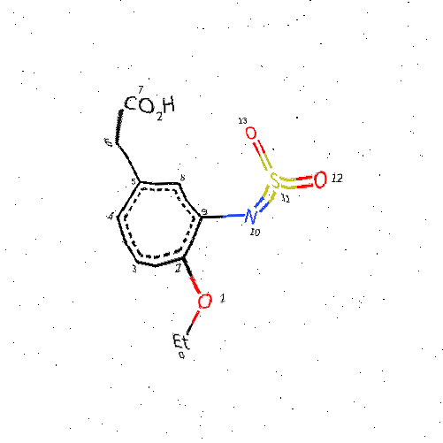 CCOc1ccc(CC(=O)O)cc1N=S(=O)=O